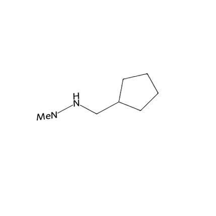 CNNCC1CCCC1